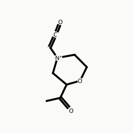 CC(=O)C1C[N+]([C]=C=O)CCO1